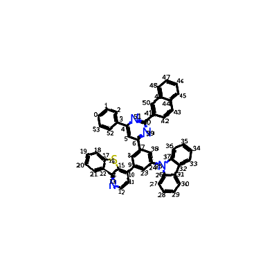 c1ccc(-c2cc(-c3cc(-c4ccnc5c4sc4ccccc45)cc(-n4c5ccccc5c5ccccc54)c3)nc(-c3ccc4ccccc4c3)n2)cc1